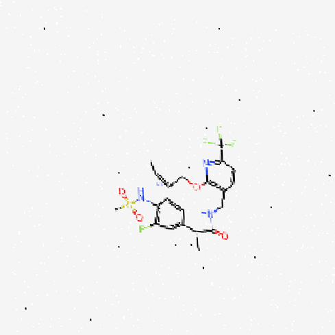 C/C=C\COc1nc(C(F)(F)F)ccc1CNC(=O)C(C)c1ccc(NS(C)(=O)=O)c(F)c1